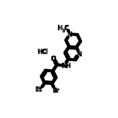 CCc1ccc(C(=O)Nc2cnc3c(c2)CN(C)CC3)cc1Br.Cl